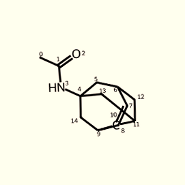 CC(=O)NC12CC3C=CC(CC(C3)C1)C2